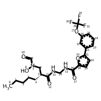 CCCCC[C@H](CN(O)C=O)C(=O)NCNC(=O)c1ccc(-c2cccc(OC(F)(F)F)c2)o1